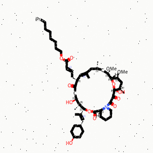 CO[C@H]1C[C@@H](C)C/C(C)=C/[C@@H](C/C=C/C(=O)OCCCCCCCC(C)C)C(=O)C[C@H](O)[C@@H](C)[C@@H](/C(C)=C/[C@H]2CC[C@H](O)CC2)OC(=O)[C@@H]2CCCCN2C(=O)C(=O)[C@]2(O)O[C@H]1[C@@H](OC)C[C@H]2C